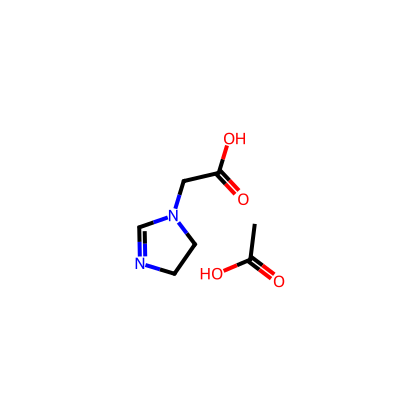 CC(=O)O.O=C(O)CN1C=NCC1